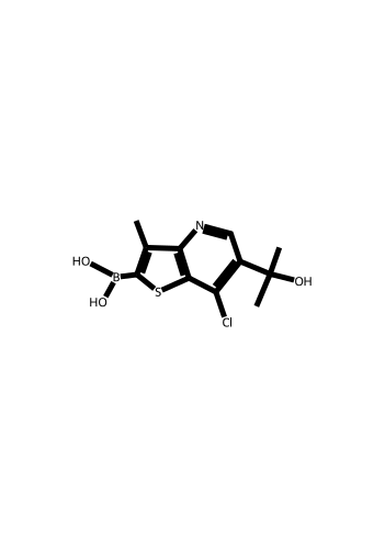 Cc1c(B(O)O)sc2c(Cl)c(C(C)(C)O)cnc12